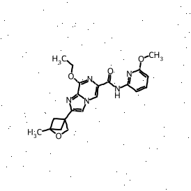 CCOc1nc(C(=O)Nc2cccc(OC)n2)cn2cc(C34COC(C)(C3)C4)nc12